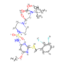 COc1cc(NS(=O)(=O)N2CCN(C(=O)CN(C(=O)O)C(C)(C)C)CC2)nc(SCc2cccc(F)c2F)n1